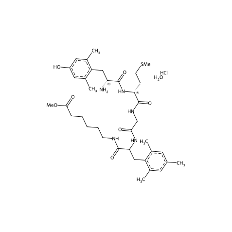 COC(=O)CCCCCNC(=O)C(Cc1c(C)cc(C)cc1C)NC(=O)CNC(=O)[C@@H](CCSC)NC(=O)[C@H](N)Cc1c(C)cc(O)cc1C.Cl.O